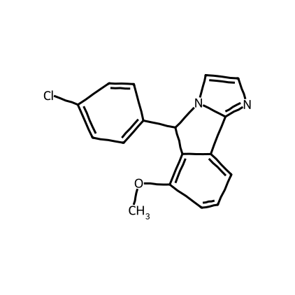 COc1cccc2c1C(c1ccc(Cl)cc1)n1ccnc1-2